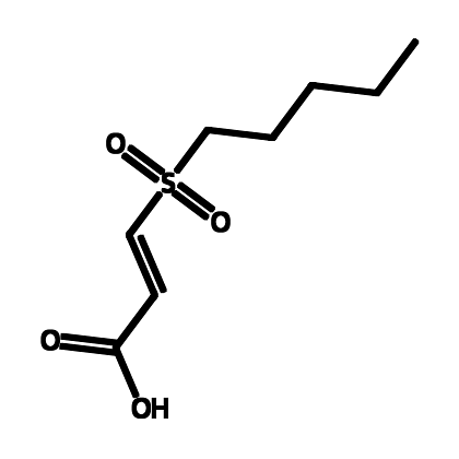 CCCCCS(=O)(=O)C=CC(=O)O